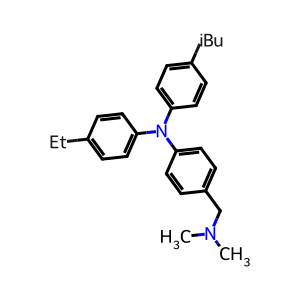 CCc1ccc(N(c2ccc(CN(C)C)cc2)c2ccc(C(C)CC)cc2)cc1